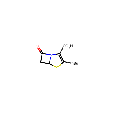 CCCCC1=C(C(=O)O)N2C(=O)CC2S1